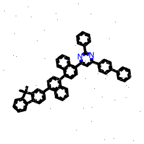 CC1(C)c2ccccc2-c2ccc(-c3ccc(-c4ccc(-c5cc(-c6ccc(-c7ccccc7)cc6)nc(-c6ccccc6)n5)c5ccccc45)c4ccccc34)cc21